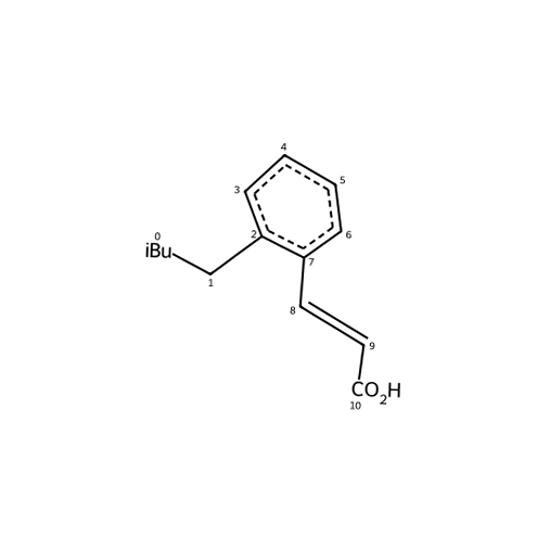 CCC(C)Cc1ccccc1/C=C/C(=O)O